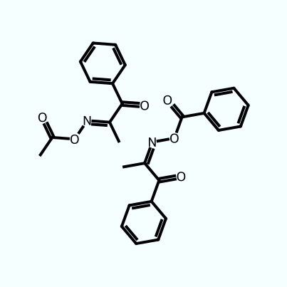 CC(=NOC(=O)c1ccccc1)C(=O)c1ccccc1.CC(=O)ON=C(C)C(=O)c1ccccc1